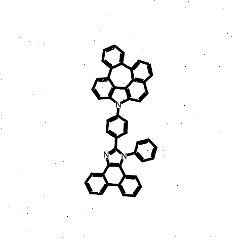 c1ccc(-n2c(-c3ccc(-n4c5cccc6c5c5c7c(cccc7ccc54)-c4ccccc4-6)cc3)nc3c4ccccc4c4ccccc4c32)cc1